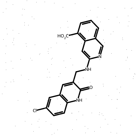 O=C(O)c1cccc2cnc(NCc3cc4cc(Cl)ccc4[nH]c3=O)cc12